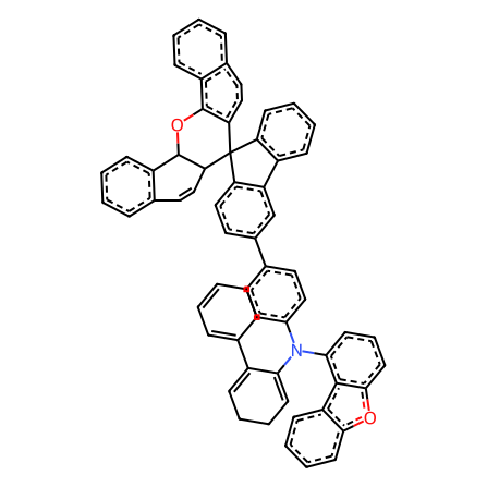 C1=CCCC(C2=CCCC=C2N(c2ccc(-c3ccc4c(c3)-c3ccccc3C43c4ccc5ccccc5c4OC4c5ccccc5C=CC43)cc2)c2cccc3oc4ccccc4c23)=C1